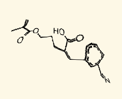 C=C(C)C(=O)OCCCC(=Cc1cccc(C#N)c1)C(=O)O